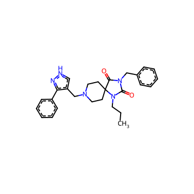 CCCN1C(=O)N(Cc2ccccc2)C(=O)C12CCN(Cc1c[nH]nc1-c1ccccc1)CC2